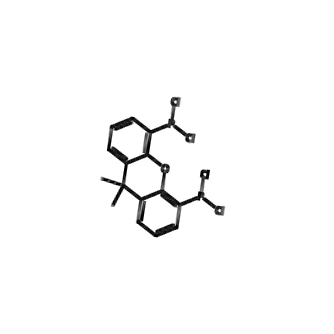 CC1(C)c2cccc(P(Cl)Cl)c2Oc2c(P(Cl)Cl)cccc21